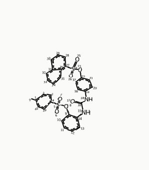 Cc1ccc(S(=O)(=O)Oc2ccccc2NC(=O)Nc2ccc(OS(=O)(=O)c3cccc4ccccc34)cc2)cc1